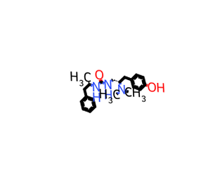 C[C@@H](Cc1ccccc1)NC(=O)NC[C@H](Cc1ccc(O)cc1)N(C)C